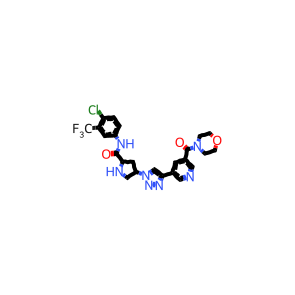 O=C(Nc1ccc(Cl)c(C(F)(F)F)c1)C1CC(n2cc(-c3cncc(C(=O)N4CCOCC4)c3)nn2)CN1